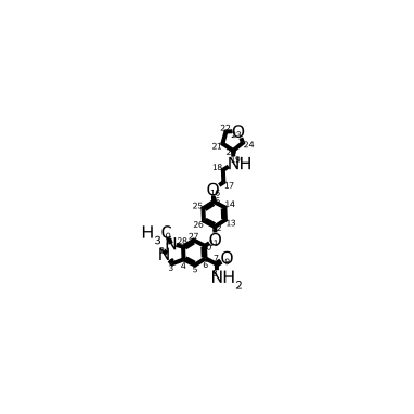 Cn1ncc2cc(C(N)=O)c(Oc3ccc(OCCNC4CCOC4)cc3)cc21